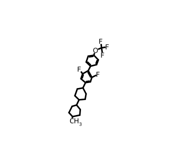 CC1CCC(C2CCC(c3cc(F)c(-c4ccc(OC(F)(F)F)cc4)c(F)c3)CC2)CC1